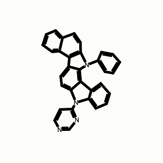 c1ccc(-n2c3ccc4ccccc4c3c3ccc4c(c5ccccc5n4-c4ccncn4)c32)cc1